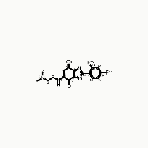 CN(C)CCNC1=CC(=O)c2nc(-c3ccc(F)cc3F)oc2C1=O